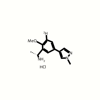 Cl.[2H]c1cc(-c2cnn(C)c2)cc([C@@H](C)N)c1OC